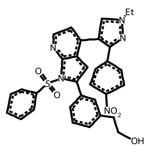 CCn1cc(-c2ccnc3c2cc(-c2cccc(CCO)c2)n3S(=O)(=O)c2ccccc2)c(-c2ccc([N+](=O)[O-])cc2)n1